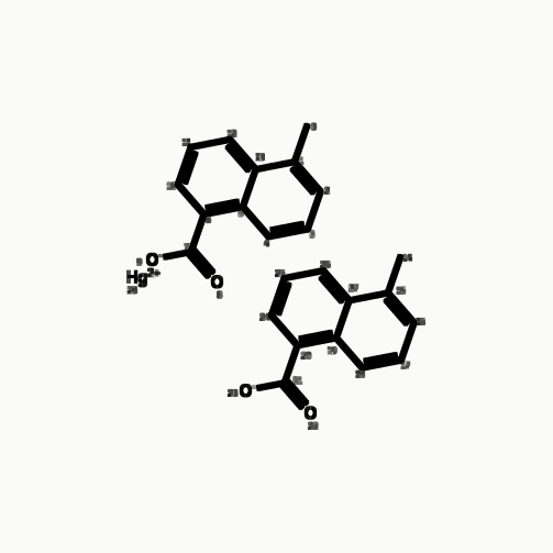 Cc1cccc2c(C(=O)[O-])cccc12.Cc1cccc2c(C(=O)[O-])cccc12.[Hg+2]